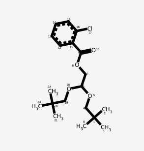 CC(C)(C)COC(COC(=O)c1ccccc1Cl)OCC(C)(C)C